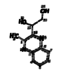 Cc1nc2ccccc2nc1C(O)CO